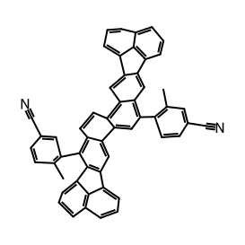 Cc1cc(C#N)ccc1-c1cc2c3cc4c(c(-c5cc(C#N)ccc5C)c3ccc2c2cc3c(cc12)-c1cccc2cccc-3c12)-c1cccc2cccc-4c12